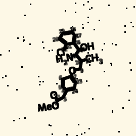 COC(=O)Cc1ccc(OCC(C)C(N)C(O)c2ccccc2Cl)cc1